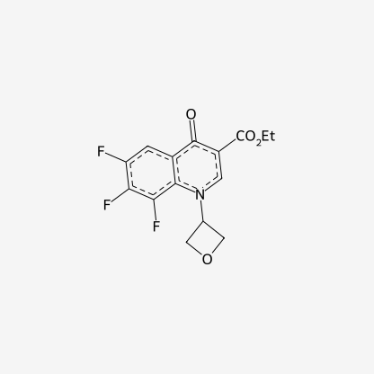 CCOC(=O)c1cn(C2COC2)c2c(F)c(F)c(F)cc2c1=O